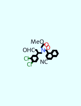 COC(=O)CN(CC(CC=O)c1ccc(Cl)c(Cl)c1)C(=O)c1cc(C#N)cc2ccccc12